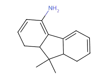 CC1(C)C2CC=CC=C2C2=C(N)C=CCC21